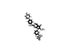 CCCc1c(F)c2cnc(Nc3ccc(N4CCN(C)CC4)cc3)nc2n1-c1cccc(NS(C)(C)(C)=O)n1